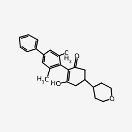 Cc1cc(-c2ccccc2)cc(C)c1C1=C(O)CC(C2CCOCC2)CC1=O